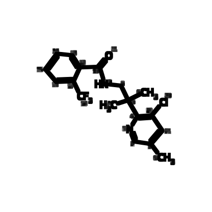 Cc1cnc(C(C)(C)CNC(=O)c2ccccc2C(F)(F)F)c(Cl)c1